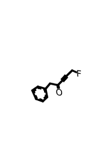 O=C(C#CCF)Cc1ccccc1